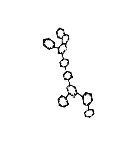 c1ccc(-c2cccc(-c3cc(-c4ccc(-c5ccc(-c6cc(-c7ccccc7)c7c(ccc8ccccc87)n6)cc5)cc4)nc(-c4ccccc4)n3)c2)cc1